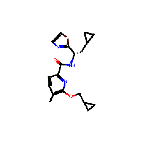 Cc1ccc(C(=O)N[C@@H](CC2CC2)c2nccs2)nc1OCC1CC1